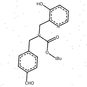 CC(C)(C)OC(=O)N(Cc1ccc(C=O)cc1)Cc1ncccc1O